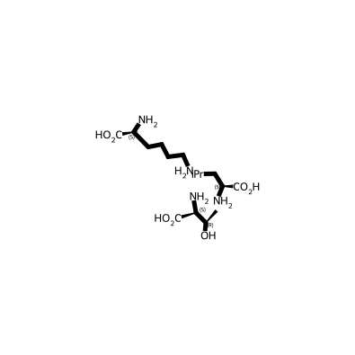 CC(C)C[C@H](N)C(=O)O.C[C@@H](O)[C@H](N)C(=O)O.NCCCC[C@H](N)C(=O)O